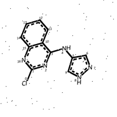 Clc1nc(Nc2cn[nH]c2)c2ccccc2n1